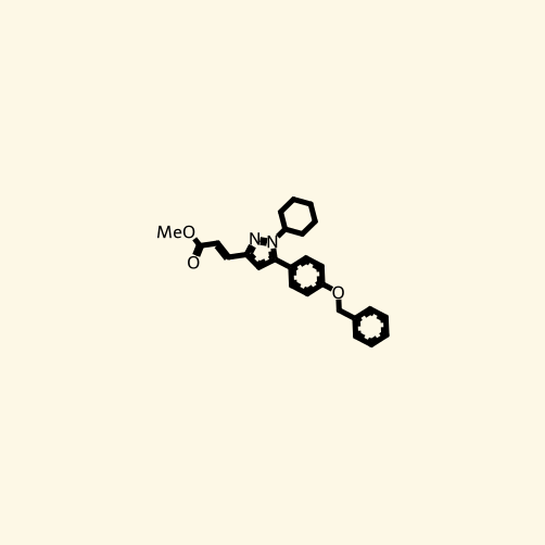 COC(=O)/C=C/c1cc(-c2ccc(OCc3ccccc3)cc2)n(C2CCCCC2)n1